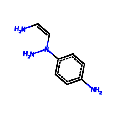 N/C=C\N(N)c1ccc(N)cc1